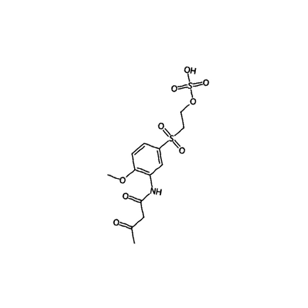 COc1ccc(S(=O)(=O)CCOS(=O)(=O)O)cc1NC(=O)CC(C)=O